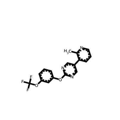 Cc1ncccc1-c1cnc(Oc2cccc(OC(F)(F)F)c2)nc1